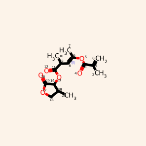 C=C(C)C(=O)O/C(C)=C/C(C)C(=O)OC1C(=O)OCC1C